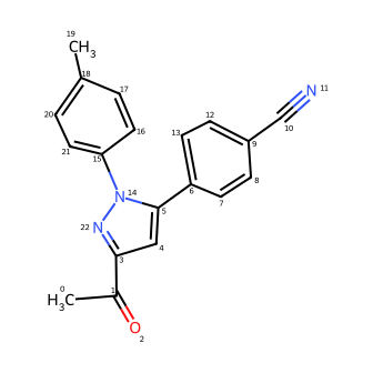 CC(=O)c1cc(-c2ccc(C#N)cc2)n(-c2ccc(C)cc2)n1